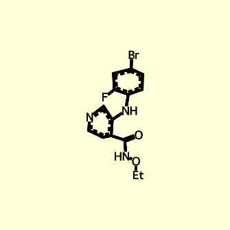 CCONC(=O)c1ccncc1Nc1ccc(Br)cc1F